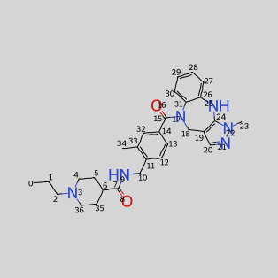 CCCN1CCC(C(=O)NCc2ccc(C(=O)N3Cc4cnn(C)c4Nc4ccccc43)cc2C)CC1